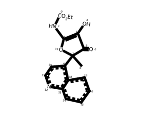 CCOC(=O)NC1=C(O)C(=O)C(C)(c2ccnc3ccccc23)O1